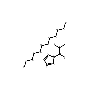 CC(C)C(C)n1ccnc1.CCCCCCCCCCCC